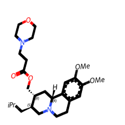 COc1cc2c(cc1OC)[C@H]1C[C@@H](COC(=O)CCN3CCOCC3)[C@H](CC(C)C)CN1CC2